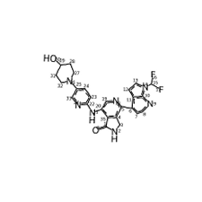 O=C1NCc2c(-c3ccnc4c3ccn4C(F)F)ncc(Nc3ccc(N4CCC(O)CC4)cn3)c21